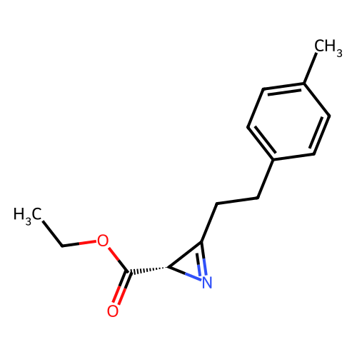 CCOC(=O)[C@H]1N=C1CCc1ccc(C)cc1